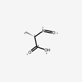 C[C@H](N=O)C(=O)O